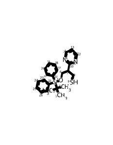 CC(C)(C)[Si](OCC(CS)c1ncccn1)(c1ccccc1)c1ccccc1